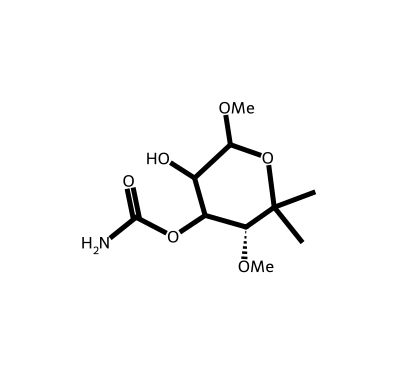 COC1OC(C)(C)[C@H](OC)C(OC(N)=O)C1O